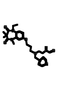 CCN1C(=O)C(C)(C)C(=O)N(C)c2cc(OCCCN(CCNC=O)Cc3ccncc3)ccc21